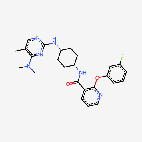 Cc1cnc(N[C@H]2CC[C@@H](NC(=O)c3cccnc3Oc3cccc(F)c3)CC2)nc1N(C)C